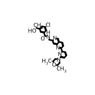 C[C@@H]1CN(c2cccc(-c3ccc4cnc(CNC(=O)c5cc(Cl)cc([C@@H](C)O)c5)cc4n3)n2)C[C@H](C)O1